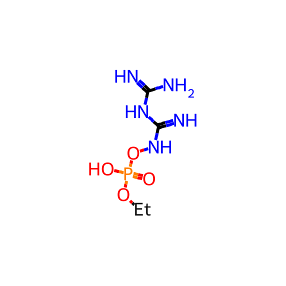 CCOP(=O)(O)ONC(=N)NC(=N)N